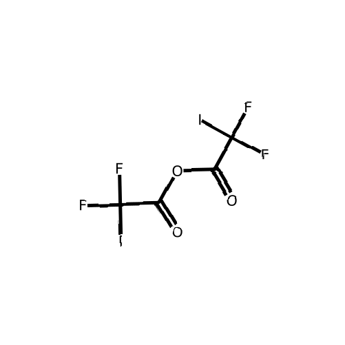 O=C(OC(=O)C(F)(F)I)C(F)(F)I